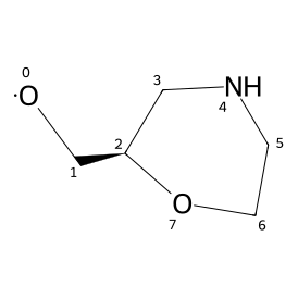 [O]C[C@H]1CNCCO1